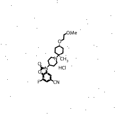 COCCO[C@H]1CC[C@](C)(N2CCC(n3c(=O)oc4c(F)cc(C#N)cc43)CC2)CC1.Cl